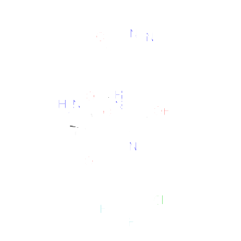 COc1cc(C(=O)NCC(O)(c2cc3c(c(-c4cc(F)c(F)c(Cl)c4)n2)OC[C@]3(C)C(N)=O)C2CC2)cc2cn(C3CC3)nc12